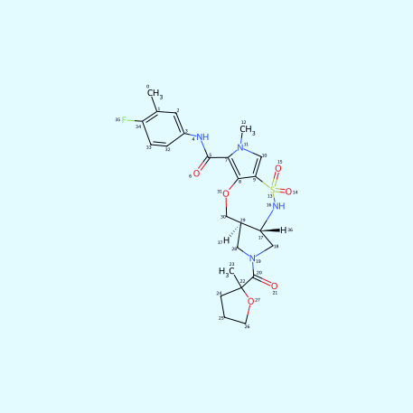 Cc1cc(NC(=O)c2c3c(cn2C)S(=O)(=O)N[C@@H]2CN(C(=O)C4(C)CCCO4)C[C@H]2CO3)ccc1F